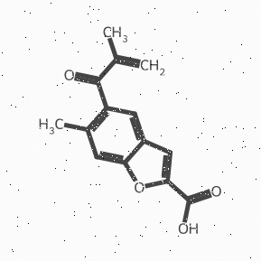 C=C(C)C(=O)c1cc2cc(C(=O)O)oc2cc1C